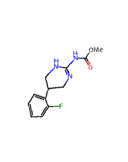 COC(=O)NC1=NCC(c2ccccc2F)CN1